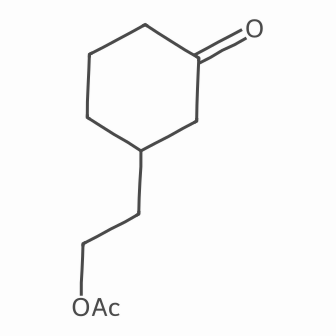 CC(=O)OCCC1CCCC(=O)C1